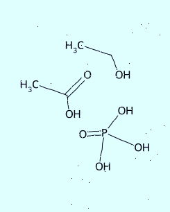 CC(=O)O.CCO.O=P(O)(O)O